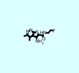 Cc1nnc2sc(C(=O)NCCF)c(N)c2c1C